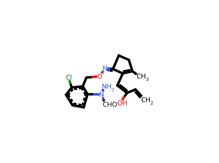 C=C/C(O)=C\C1=C(C)CC/C1=N/OCc1c(Cl)cccc1N(N)C=O